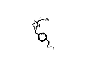 C=Cc1ccc(Cn2nnc(SCCCC)n2)cc1